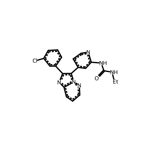 CCNC(=O)Nc1cc(-c2c(-c3cccc(Cl)c3)nc3cccnn23)ccn1